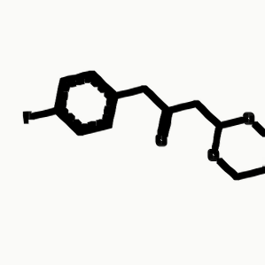 O=C(Cc1ccc(F)cc1)CC1OCCCO1